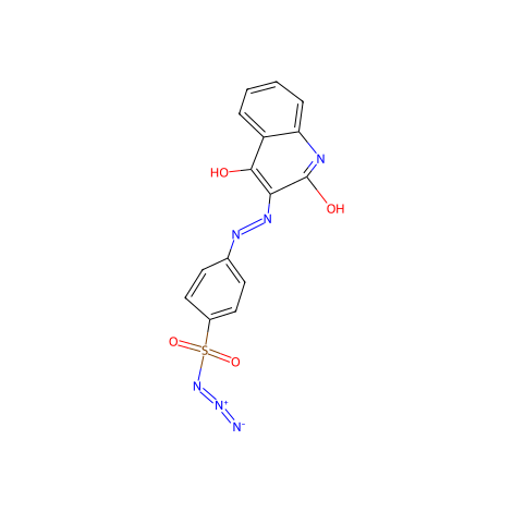 [N-]=[N+]=NS(=O)(=O)c1ccc(N=Nc2c(O)nc3ccccc3c2O)cc1